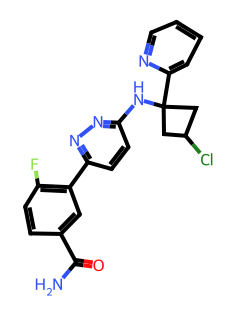 NC(=O)c1ccc(F)c(-c2ccc(NC3(c4ccccn4)CC(Cl)C3)nn2)c1